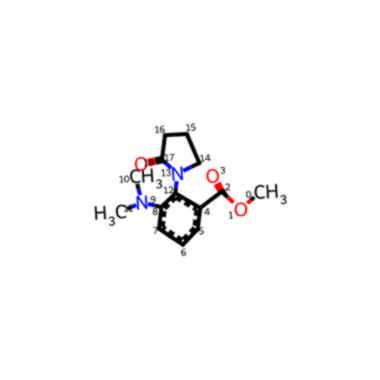 COC(=O)c1cccc(N(C)C)c1N1CCCC1=O